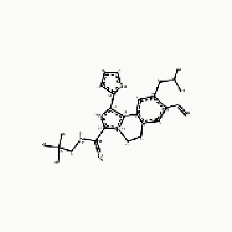 C=Cc1cc2c(cc1CC(C)C)-c1c(-c3cccs3)nc(C(=O)NCC(C)(C)C)n1CC2